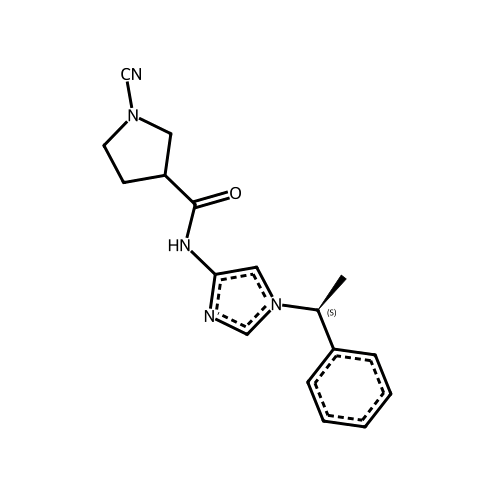 C[C@@H](c1ccccc1)n1cnc(NC(=O)C2CCN(C#N)C2)c1